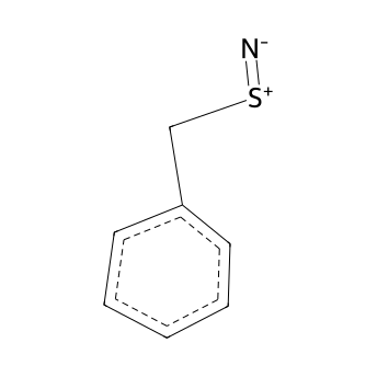 [N-]=[S+]Cc1ccccc1